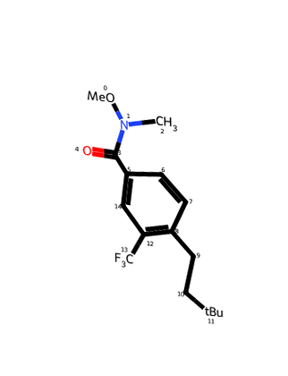 CON(C)C(=O)c1ccc(CCC(C)(C)C)c(C(F)(F)F)c1